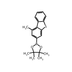 Cc1cc(B2OC(C)(C)C(C)(C)O2)cc2sc3ccccc3c12